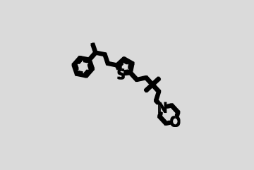 CC(CCc1ccc(CCC(C)(C)CCN2CCOCC2)s1)c1ccccc1